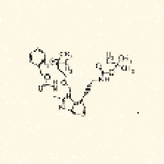 CC(C)(C)OC(=O)NCC#Cc1cccc2nc(CNC(=O)OCc3ccccc3)n(COCC[Si](C)(C)C)c12